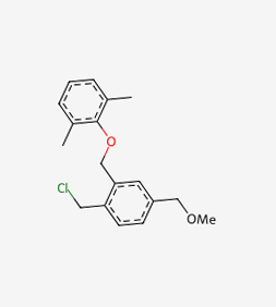 COCc1ccc(CCl)c(COc2c(C)cccc2C)c1